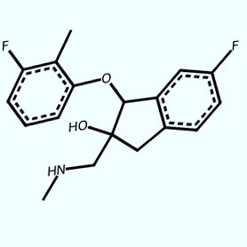 CNCC1(O)Cc2ccc(F)cc2C1Oc1cccc(F)c1C